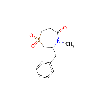 CN1C(=O)[CH]CS(=O)(=O)CC1Cc1ccccc1